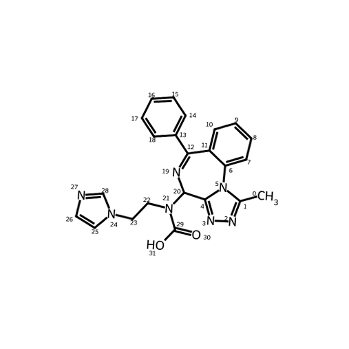 Cc1nnc2n1-c1ccccc1C(c1ccccc1)=NC2N(CCn1ccnc1)C(=O)O